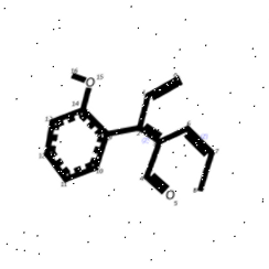 C=C/C(=C(C=O)\C=C/C)c1ccccc1OC